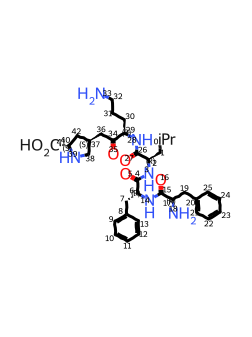 CC(C)C[C@@H](NC(=O)[C@@H](Cc1ccccc1)NC(=O)[C@H](N)Cc1ccccc1)C(=O)N[C@H](CCCN)C(=O)C[C@H]1CN[C@H](C(=O)O)C1